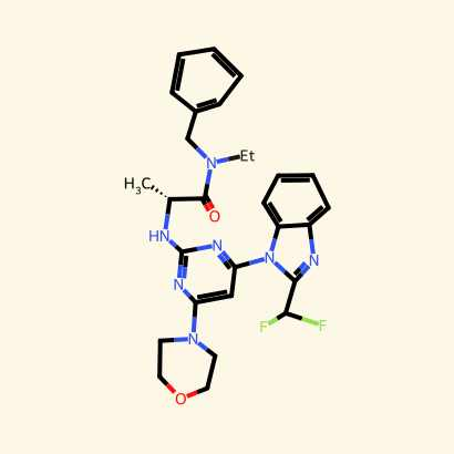 CCN(Cc1ccccc1)C(=O)[C@@H](C)Nc1nc(N2CCOCC2)cc(-n2c(C(F)F)nc3ccccc32)n1